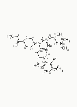 C=CC(=O)N1CCN(c2nc(O[C@H](C)CN(C)C)nc3c2CCN(c2c(O)ccc(C)c2F)C3)CC1